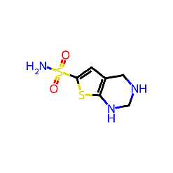 NS(=O)(=O)c1cc2c(s1)NCNC2